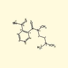 CN(C)CCN(C)C(=O)c1cnccc1C(=O)C(C)(C)C